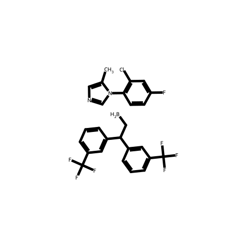 BCC(c1cccc(C(F)(F)F)c1)c1cccc(C(F)(F)F)c1.Cc1cncn1-c1ccc(F)cc1Cl